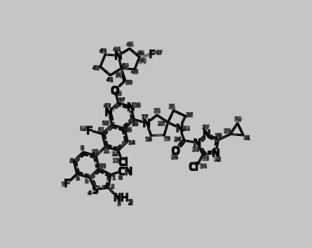 N#Cc1c(N)sc2c(F)ccc(-c3c(Cl)cc4c(N5CCC6(CCN6C(=O)n6nc(C7CC7)nc6Cl)C5)nc(OC[C@@]56CCCN5C[C@H](F)C6)nc4c3F)c12